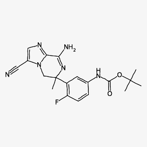 CC(C)(C)OC(=O)Nc1ccc(F)c(C2(C)Cn3c(C#N)cnc3C(N)=N2)c1